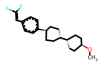 CO[C@H]1CC[C@H]([C@H]2CC[C@H](c3ccc(C=C(F)F)cc3)CC2)CC1